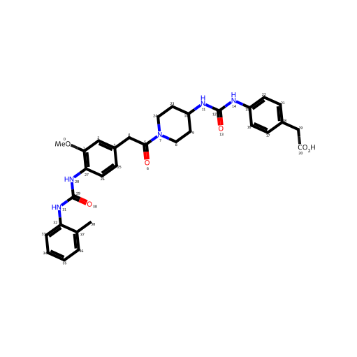 COc1cc(CC(=O)N2CCC(NC(=O)Nc3ccc(CC(=O)O)cc3)CC2)ccc1NC(=O)Nc1ccccc1C